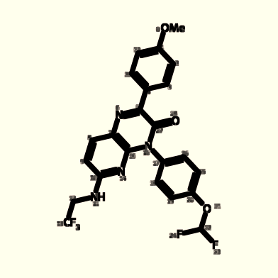 COc1ccc(-c2nc3ccc(NCC(F)(F)F)nc3n(-c3ccc(OC(F)F)cc3)c2=O)cc1